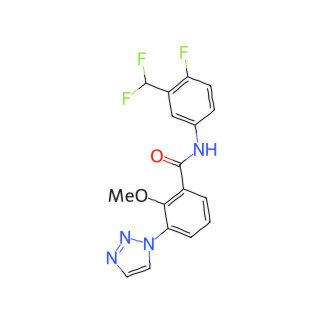 COc1c(C(=O)Nc2ccc(F)c(C(F)F)c2)cccc1-n1ccnn1